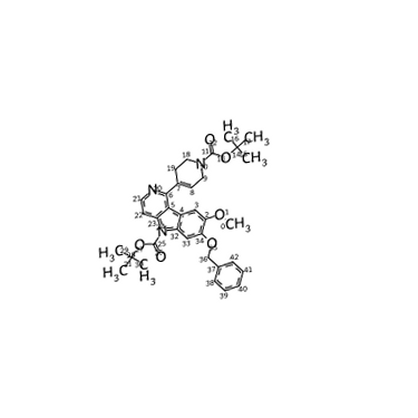 COc1cc2c3c(C4=CCN(C(=O)OC(C)(C)C)CC4)nccc3n(C(=O)OC(C)(C)C)c2cc1OCc1ccccc1